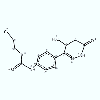 CC1CC(=O)NN=C1c1ccc(NC(=O)SCCCl)cc1